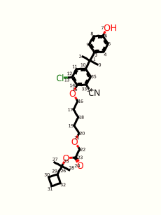 CC(C)(c1ccc(O)cc1)c1cc(Cl)c(OCCCCCOCC(=O)OC(C)(C)C2CCC2)c(C#N)c1